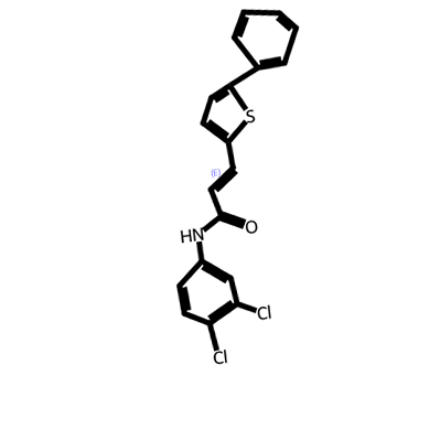 O=C(/C=C/c1ccc(-c2ccccc2)s1)Nc1ccc(Cl)c(Cl)c1